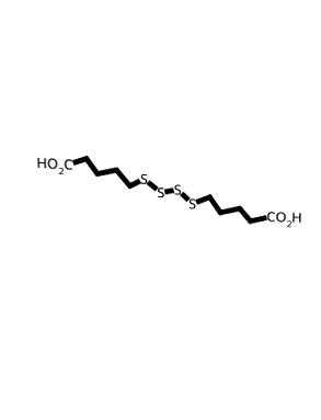 O=C(O)CCCCSSSSCCCCC(=O)O